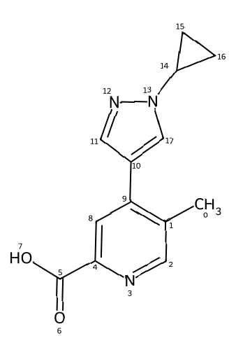 Cc1cnc(C(=O)O)cc1-c1cnn(C2CC2)c1